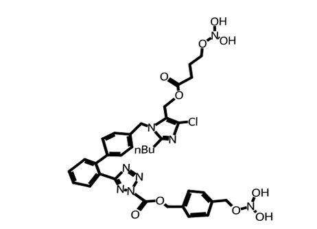 CCCCc1nc(Cl)c(COC(=O)CCCON(O)O)n1Cc1ccc(-c2ccccc2-c2nnn(C(=O)OCc3ccc(CON(O)O)cc3)n2)cc1